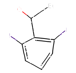 CCC([O])c1c(I)cccc1I